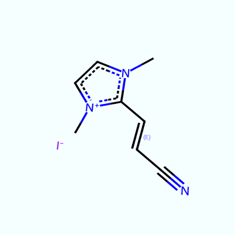 Cn1cc[n+](C)c1/C=C/C#N.[I-]